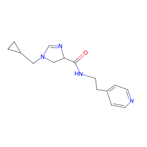 O=C(NCCc1ccncc1)C1CN(CC2CC2)C=N1